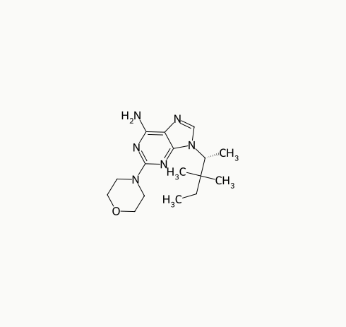 CCC(C)(C)[C@@H](C)n1cnc2c(N)nc(N3CCOCC3)nc21